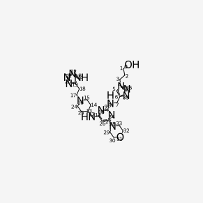 OCCCn1cc(CNc2nc(NC3CCN(CCc4nnn[nH]4)CC3)cc(N3CCOCC3)n2)nn1